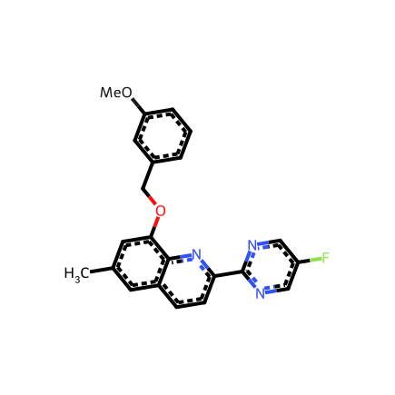 COc1cccc(COc2cc(C)cc3ccc(-c4ncc(F)cn4)nc23)c1